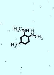 CNC1CCC(C)CC1NC